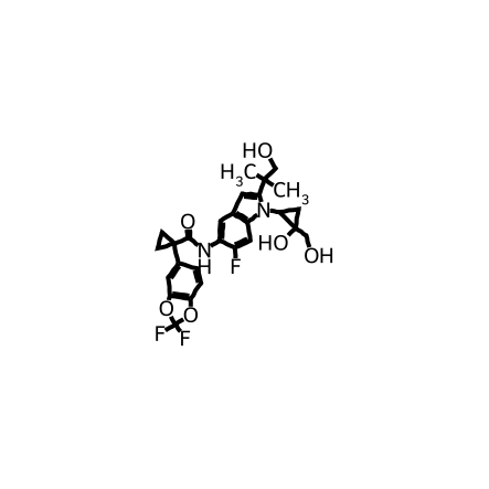 CC(C)(CO)c1cc2cc(NC(=O)C3(c4ccc5c(c4)OC(F)(F)O5)CC3)c(F)cc2n1C1CC1(O)CO